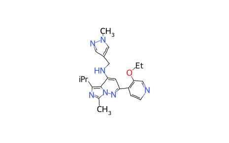 CCOc1cnccc1-c1cc(NCc2cnn(C)c2)c2c(C(C)C)nc(C)n2n1